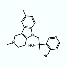 Cc1ccc2c(c1)c1c(n2CC(C)(O)c2cnccc2C#N)CCN(C)C1